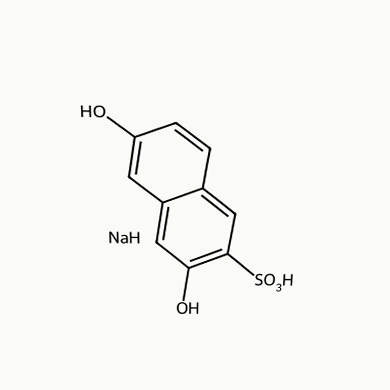 O=S(=O)(O)c1cc2ccc(O)cc2cc1O.[NaH]